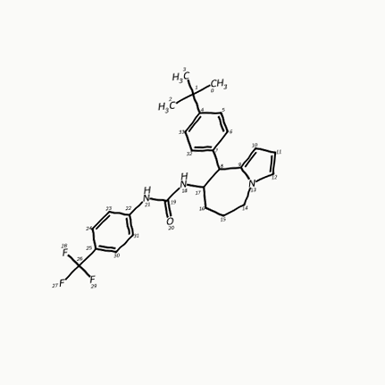 CC(C)(C)c1ccc(C2c3cccn3CCCC2NC(=O)Nc2ccc(C(F)(F)F)cc2)cc1